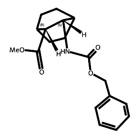 COC(=O)[C@@H]1C2CCC(CC2)[C@@H]1NC(=O)OCc1ccccc1